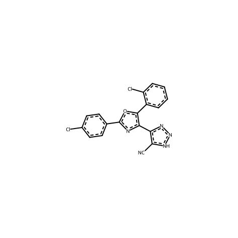 N#Cc1[nH]nnc1-c1nc(-c2ccc(Cl)cc2)oc1-c1ccccc1Cl